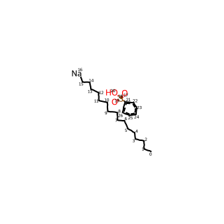 CCCCCCCCCCCCCCC[CH2][Na].O=S(=O)(O)c1ccccc1